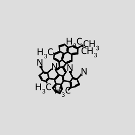 Cc1ccc(C#N)c(C#N)c1-c1c2ccccc2c(-c2c(C)ccc(C#N)c2C#N)c2cc3c(cc12)-c1cc(C)c2ccc4cc(C(C)(C)C)cc5cc-3c1c2c45